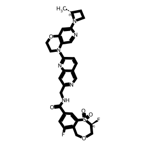 C[C@@H]1CCN1c1cc2c(cn1)N(c1ccc3cnc(CNC(=O)c4cc(F)c5c(c4)S(=O)(=O)[C@@H](F)COC5)cc3n1)CCO2